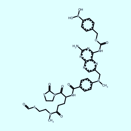 CN(CCSC=O)C(=O)CCC(NC(=O)c1ccc(N(C)Cc2cnc3nc(N)nc(NC(=O)OCc4ccc(B(O)O)cc4)c3n2)cc1)C(=O)N1CCSC1=O